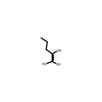 OC(O)=C(O)CCI